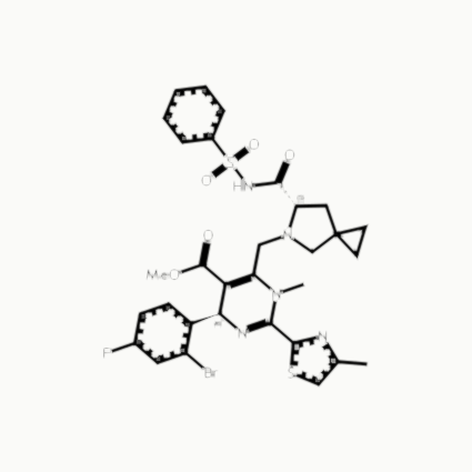 COC(=O)C1=C(CN2CC3(CC3)C[C@H]2C(=O)NS(=O)(=O)c2ccccc2)N(C)C(c2nc(C)cs2)=N[C@H]1c1ccc(F)cc1Br